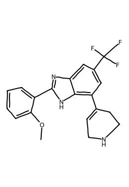 COc1ccccc1-c1nc2cc(C(F)(F)F)cc(C3=CCNCC3)c2[nH]1